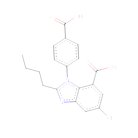 CCCCc1nc2cc(Cl)cc(C(=O)O)c2n1-c1ccc(C(=O)O)cc1